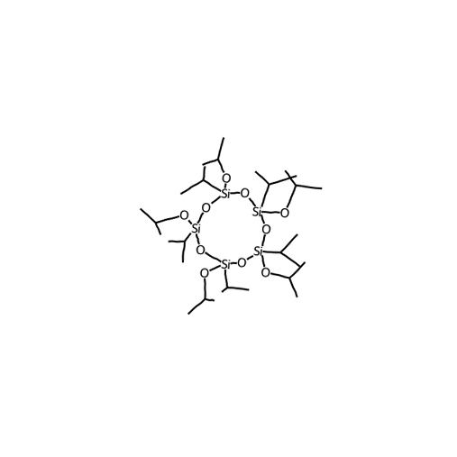 CC(C)O[Si]1(C(C)C)O[Si](OC(C)C)(C(C)C)O[Si](OC(C)C)(C(C)C)O[Si](OC(C)C)(C(C)C)O[Si](OC(C)C)(C(C)C)O1